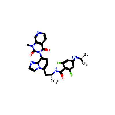 CC[C@@H](Nc1cc(F)c(C(=O)N[C@@H](Cc2ccc(-n3c(=O)c4ccncc4n(C)c3=O)c3nccn23)C(=O)O)c(F)c1)C(F)(F)F